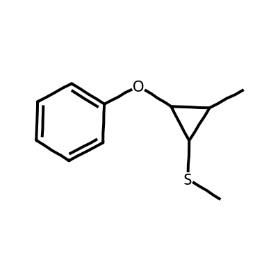 CSC1C(C)C1Oc1ccccc1